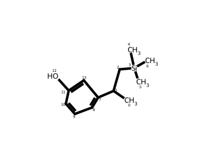 CC(C[Si](C)(C)C)c1cccc(O)c1